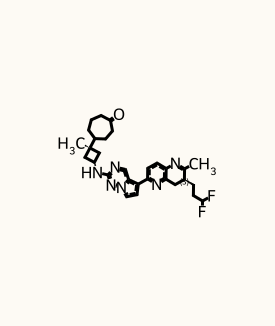 CC1=Nc2ccc(-c3ccn4nc(N[C@H]5C[C@](C)(C6CCCC(=O)CC6)C5)ncc34)nc2C[C@@H]1CCC(F)F